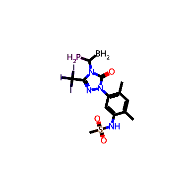 BC(P)n1c(C(I)(I)I)nn(-c2cc(NS(C)(=O)=O)c(C)cc2C)c1=O